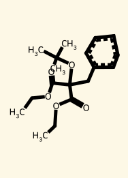 CCOC(=O)C(Cc1ccccc1)(OC(C)(C)C)C(=O)OCC